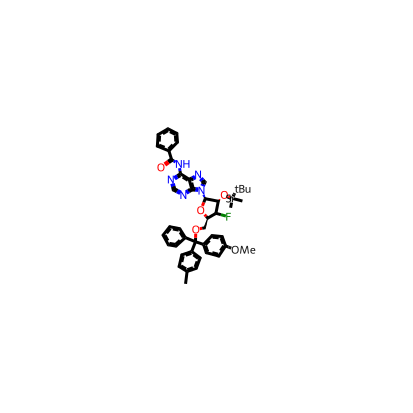 COc1ccc(C(OC[C@H]2O[C@@H](n3cnc4c(NC(=O)c5ccccc5)ncnc43)[C@H](O[Si](C)(C)C(C)(C)C)C2F)(c2ccccc2)c2ccc(C)cc2)cc1